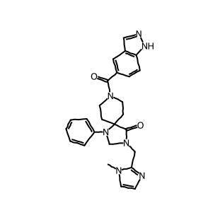 Cn1ccnc1CN1CN(c2ccccc2)C2(CCN(C(=O)c3ccc4[nH]ncc4c3)CC2)C1=O